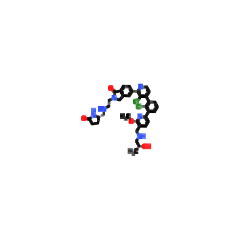 COc1nc(-c2cccc(-c3ccnc(-c4ccc5c(c4)CN(CCNC[C@@H]4CCC(=O)N4)C5=O)c3Cl)c2Cl)ccc1CNC[C@@H](C)O